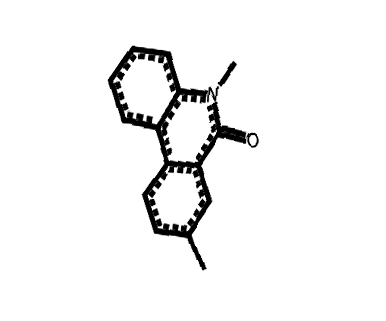 Cc1ccc2c(c1)c(=O)n(C)c1ccccc21